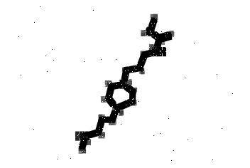 C=C(NCCCN1CCN(CCCNC)CC1)OC